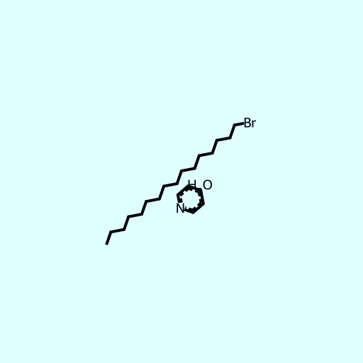 CCCCCCCCCCCCCCCCBr.O.c1ccncc1